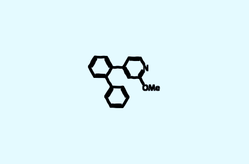 COc1cc(-c2ccccc2-c2ccccc2)ccn1